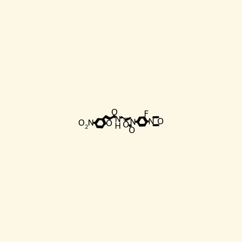 O=C(NC[C@H]1CN(c2ccc(N3CCOCC3)c(F)c2)C(=O)O1)c1cc2cc([N+](=O)[O-])ccc2o1